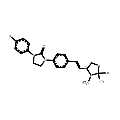 CC1(C)OC[C@H](C=Cc2ccc(N3CCN(c4ccc(F)cc4)C3=O)cc2)N1C(=O)O